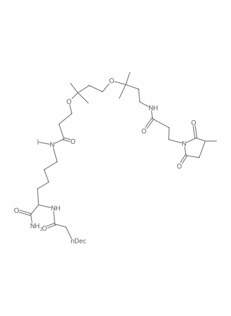 CCCCCCCCCCCC(=O)NC(CCCCN(I)C(=O)CCOC(C)(C)CCOC(C)(C)CCNC(=O)CCN1C(=O)CC(C)C1=O)C(N)=O